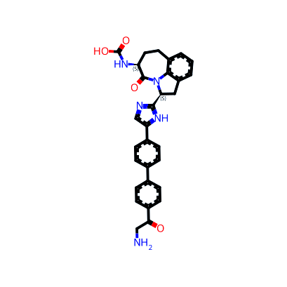 NCC(=O)c1ccc(-c2ccc(-c3cnc([C@@H]4Cc5cccc6c5N4C(=O)[C@@H](NC(=O)O)CC6)[nH]3)cc2)cc1